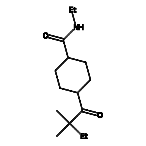 CCNC(=O)C1CCC(C(=O)C(C)(C)CC)CC1